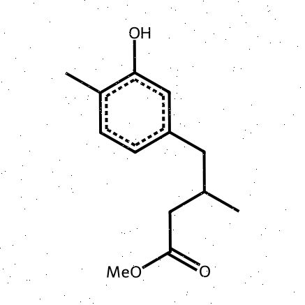 COC(=O)CC(C)Cc1ccc(C)c(O)c1